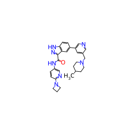 CC1CCN(Cc2cncc(-c3ccc4[nH]nc(C(=O)Nc5ccc(N6CCC6)nc5)c4c3)c2)CC1